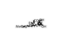 CCN(CCC(=O)O)C(CCOc1cc(CO)nc(CO)c1)COCCOCCOC